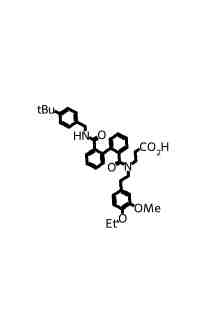 CCOc1ccc(CCN(CCC(=O)O)C(=O)c2ccccc2-c2ccccc2C(=O)NCc2ccc(C(C)(C)C)cc2)cc1OC